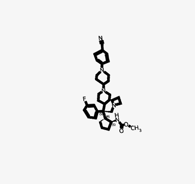 COC(=O)N[C@H]1CCC[C@@H]1[C@](CN1CCC1)(c1cccc(F)c1)C1CCN(C2CCN(c3ccc(C#N)cc3)CC2)CC1